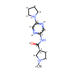 N#CN1CC[C@H](C(=O)Nc2cnc(N3CCCC3)cn2)C1